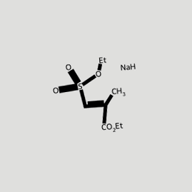 CCOC(=O)C(C)=CS(=O)(=O)OCC.[NaH]